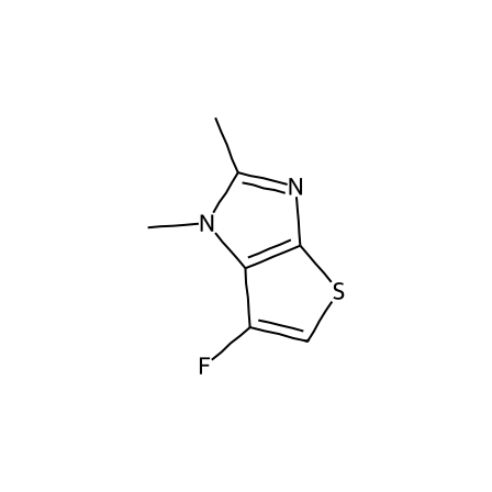 Cc1nc2scc(F)c2n1C